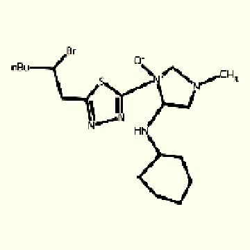 CCCCC(Br)Cc1nnc([N+]2([O-])CN(C)CC2NC2CCCCC2)s1